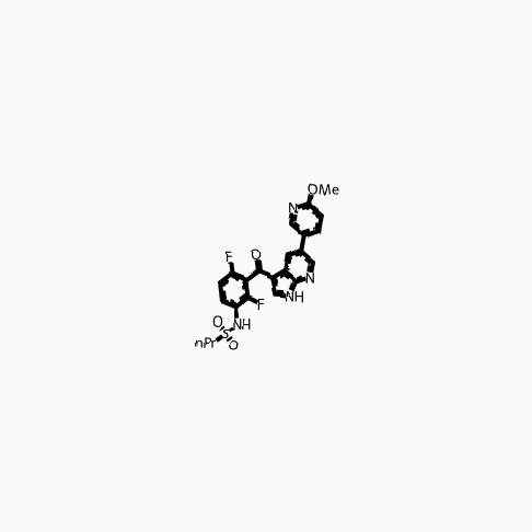 CCCS(=O)(=O)Nc1ccc(F)c(C(=O)c2c[nH]c3ncc(-c4ccc(OC)nc4)cc23)c1F